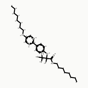 CCCCCCCCOC(=O)C(F)(Oc1ccc(-c2ncc(OCCCCCCCC)cn2)cc1)C(F)(F)F